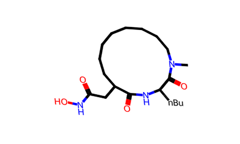 CCCCC1NC(=O)C(CC(=O)NO)CCCCCCCCN(C)C1=O